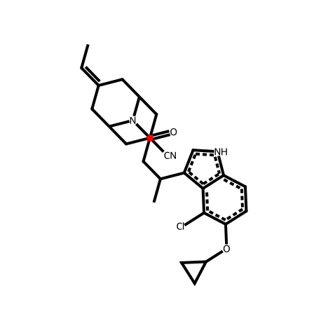 CC=C1CC2CC(C#N)CC(C1)N2C(=O)CC(C)c1c[nH]c2ccc(OC3CC3)c(Cl)c12